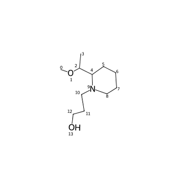 COC(C)C1CCCCN1CCCO